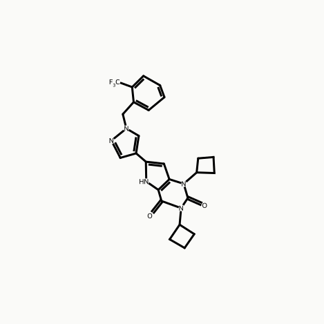 O=c1c2[nH]c(-c3cnn(Cc4ccccc4C(F)(F)F)c3)cc2n(C2CCC2)c(=O)n1C1CCC1